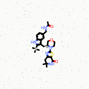 CC(=O)NCc1ccc2[nH]c([Si](C)(C)C)c(C[C@H]3COCCN3c3nc4c(s3)C(=O)NC(C)(C)C4)c2c1